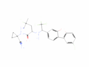 CC(C)(F)CC(NC(c1ccc2c(c1)oc1ccc(F)cc12)C(F)(F)F)C(=O)NC1(C#N)CC1